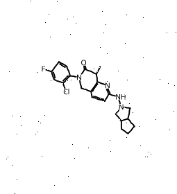 CC1C(=O)N(c2ccc(F)cc2Cl)Cc2ccc(NN3CC4CCCC4C3)nc21